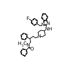 CN(CC(CCN1CCC(Nc2nc3ccccc3n2Cc2ccc(F)cc2)CC1)c1ccccc1)C(=O)c1ccccc1